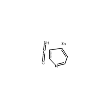 N=C=O.[Zn].c1ccncc1